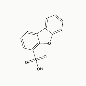 O=S(=O)(O)c1cccc2c1oc1ccccc12